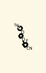 [2H]N1CCC(Oc2cccc(OCc3ccc(C#N)cc3F)c2)CC1